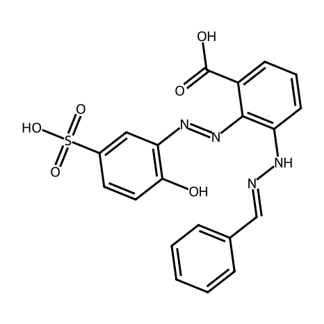 O=C(O)c1cccc(NN=Cc2ccccc2)c1N=Nc1cc(S(=O)(=O)O)ccc1O